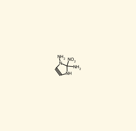 NN1C#CNC1(N)[N+](=O)[O-]